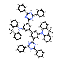 C[Si]1(C)c2ccccc2N(c2cc(-c3cc(-c4nc(-c5ccccc5)nc(-c5ccccc5)n4)cc(N4c5ccccc5[Si](C)(C)c5ccccc54)c3)cc(-c3nc(-c4ccccc4)nc(-c4ccccc4)n3)c2)c2ccccc21